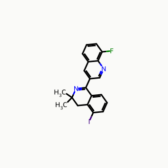 CC1(C)Cc2c(I)cccc2C(c2cnc3c(F)cccc3c2)=N1